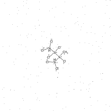 C[Si](Cl)([SiH](Cl)Cl)[Si](Cl)(Cl)[SiH](Cl)Cl